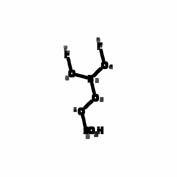 O=S(=O)(O)OOB(OF)OF